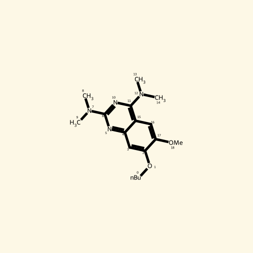 CCCCOc1cc2nc(N(C)C)nc(N(C)C)c2cc1OC